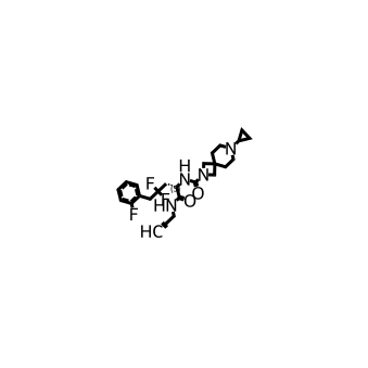 C#CCNC(=O)[C@H](CC(F)(F)Cc1ccccc1F)NC(=O)N1CC2(CCN(C3CC3)CC2)C1